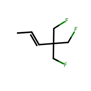 CC=CC(CF)(CF)CF